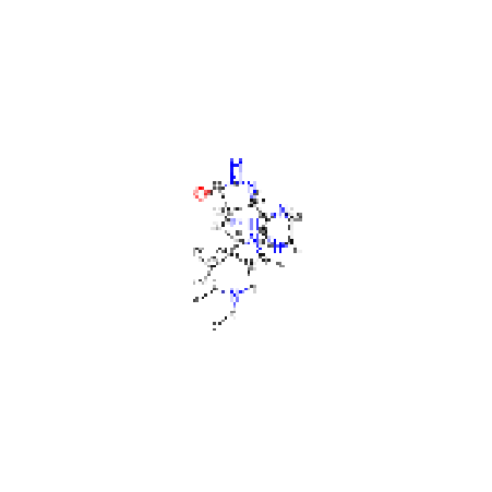 CCN(CC)Cc1c(C)[nH]c(/C=C2/C(=O)NN=C2c2cnccn2)c1C(C)C